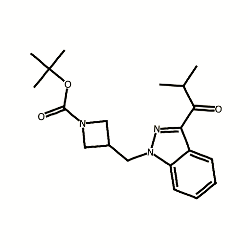 CC(C)C(=O)c1nn(CC2CN(C(=O)OC(C)(C)C)C2)c2ccccc12